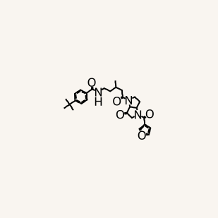 CC(CCNC(=O)c1ccc(C(C)(C)C)cc1)CC(=O)N1CCC2C1C(=O)CN2C(=O)c1ccoc1